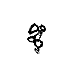 Clc1ccc(C[PH](c2ccccc2)(c2ccccc2)c2ccccc2)cc1